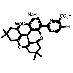 CCc1ccc(-c2ccc(OC)c(C3C4=C(CC(C)(C)CC4=O)OC4=C3C(=O)CC(C)(C)C4)c2C)nc1C(=O)O.[NaH]